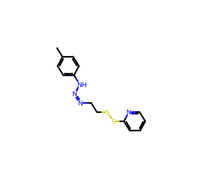 Cc1ccc(N/N=N\CCSSc2ccccn2)cc1